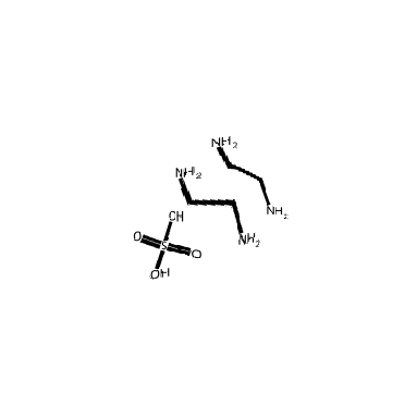 NCCN.NCCN.O=S(=O)(O)O